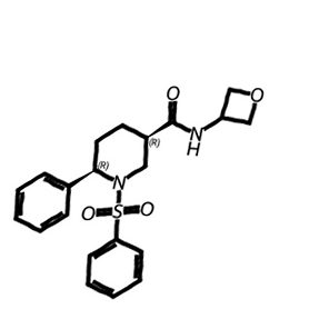 O=C(NC1COC1)[C@@H]1CC[C@H](c2ccccc2)N(S(=O)(=O)c2ccccc2)C1